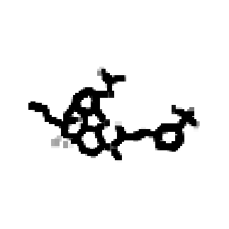 C=CCN1CC[C@]23c4c5ccc(OC(C)=O)c4OC2C(N(C)C(=O)/C=C/c2cccc(C(F)(F)F)c2)CC[C@@]3(O)[C@H]1C5